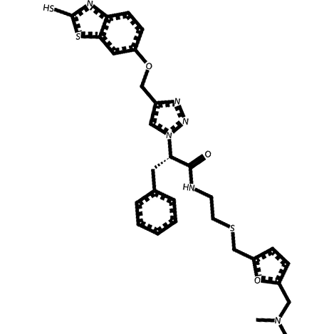 CN(C)Cc1ccc(CSCCNC(=O)[C@H](Cc2ccccc2)n2cc(COc3ccc4nc(S)sc4c3)nn2)o1